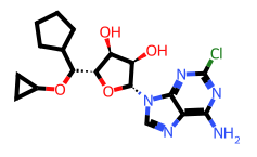 Nc1nc(Cl)nc2c1ncn2[C@@H]1O[C@H](C(OC2CC2)C2CCCC2)[C@@H](O)[C@H]1O